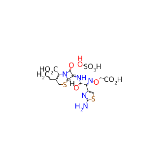 C=CC1=C(C(=O)O)N2C(=O)[C@@H](NC(=O)C(=NOCC(=O)O)c3csc(N)n3)[C@H]2SC1.O=S(=O)(O)O